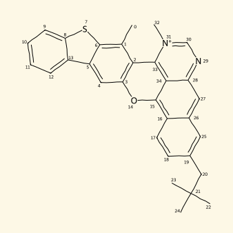 Cc1c2c(cc3c1sc1ccccc13)Oc1c3ccc(CC(C)(C)C)cc3cc3nc[n+](C)c-2c13